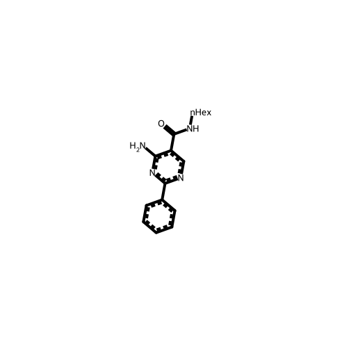 CCCCCCNC(=O)c1cnc(-c2ccccc2)nc1N